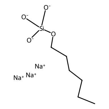 CCCCCCO[Si]([O-])([O-])[O-].[Na+].[Na+].[Na+]